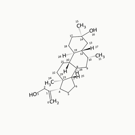 C=C(CO)[C@H]1CC[C@H]2[C@@H]3C[C@@H](C)[C@H]4C[C@](C)(O)CC[C@@H]4[C@H]3CC[C@]12C